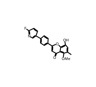 COc1c(C)cc(O)c2oc(-c3ccc(-c4ccc(F)nc4)cc3)cc(=O)c12